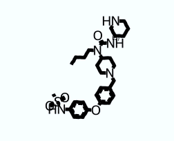 CCCCN(C(=O)N[C@H]1CCCNC1)C1CCN(Cc2ccc(Oc3ccc(NS(C)(=O)=O)cc3)cc2)CC1